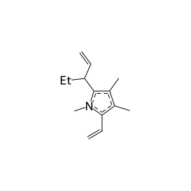 C=Cc1c(C)c(C)c(C(C=C)CC)n1C